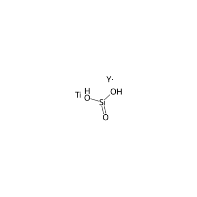 O=[Si](O)O.[Ti].[Y]